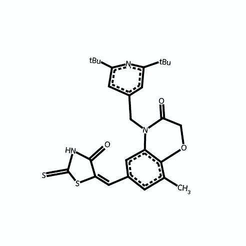 Cc1cc(C=C2SC(=S)NC2=O)cc2c1OCC(=O)N2Cc1cc(C(C)(C)C)nc(C(C)(C)C)c1